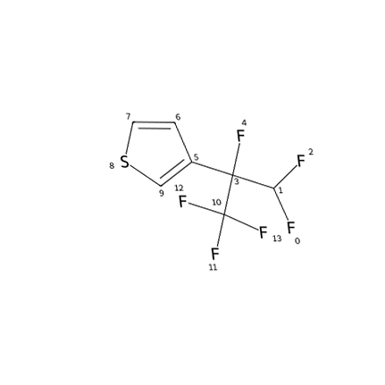 FC(F)C(F)(c1ccsc1)C(F)(F)F